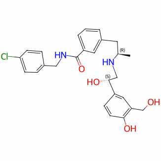 C[C@H](Cc1cccc(C(=O)NCc2ccc(Cl)cc2)c1)NC[C@@H](O)c1ccc(O)c(CO)c1